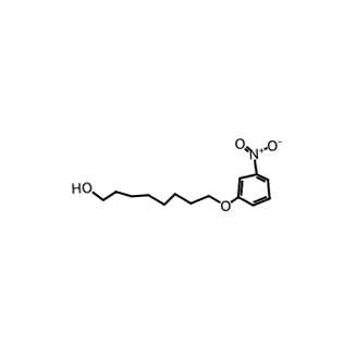 O=[N+]([O-])c1cccc(OCCCCCCCCO)c1